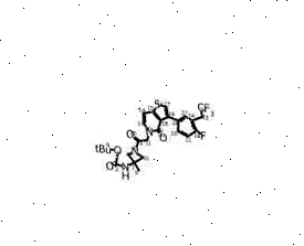 CC1(NC(=O)OC(C)(C)C)CN(C(=O)Cn2ccc3scc(-c4ccc(F)c(CC(F)(F)F)c4)c3c2=O)C1